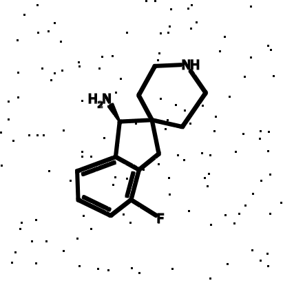 N[C@@H]1c2cccc(F)c2CC12CCNCC2